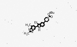 CCc1c(-c2cc(C)c3nc(C)nn3c2)[nH]c2ccc(C3CCN(C(=O)OC(C)(C)C)CC3)cc12